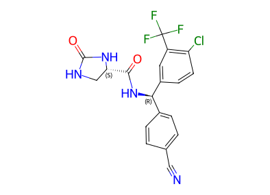 N#Cc1ccc([C@@H](NC(=O)[C@@H]2CNC(=O)N2)c2ccc(Cl)c(C(F)(F)F)c2)cc1